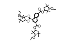 CCON1C(C)(C)CC(OC(=O)c2ccc3c(C(=O)OC4CC(C)(C)N(OCC)C4(C)C)cc(C(=O)OC4CC(C)(C)N(OCC)C4(C)C)cc3c2)C1(C)C